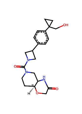 O=C1CO[C@H]2CCN(C(=O)N3CC(c4ccc(C5(CO)CC5)cc4)C3)CC2N1